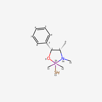 C[C@H]1[C@@H](c2ccccc2)OP(C)(C)(S)N1C